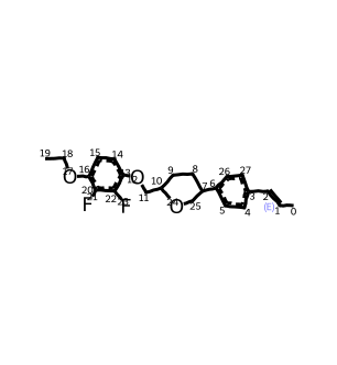 C/C=C/c1ccc(C2CCC(COc3ccc(OCC)c(F)c3F)OC2)cc1